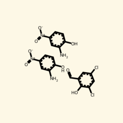 Nc1cc([N+](=O)[O-])ccc1O.Nc1cc([N+](=O)[O-])ccc1O.O=Cc1cc(Cl)cc(Cl)c1O